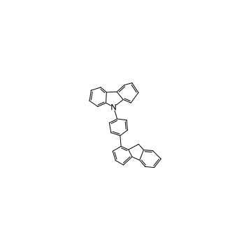 c1ccc2c(c1)Cc1c(-c3ccc(-n4c5ccccc5c5ccccc54)cc3)cccc1-2